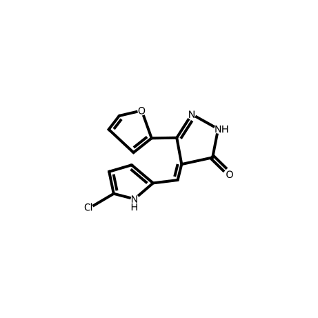 O=C1NN=C(c2ccco2)C1=Cc1ccc(Cl)[nH]1